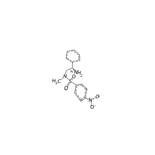 CN(C[C@H](N)c1ccccc1)S(=O)(=O)c1ccc([N+](=O)[O-])cc1